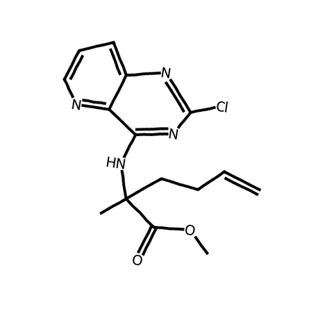 C=CCCC(C)(Nc1nc(Cl)nc2cccnc12)C(=O)OC